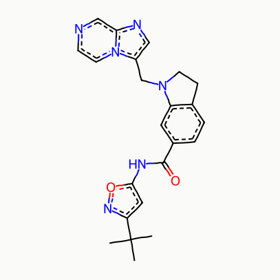 CC(C)(C)c1cc(NC(=O)c2ccc3c(c2)N(Cc2cnc4cnccn24)CC3)on1